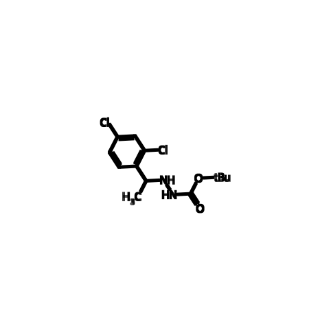 CC(NNC(=O)OC(C)(C)C)c1ccc(Cl)cc1Cl